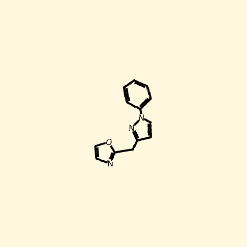 c1ccc(-n2ccc(Cc3ncco3)n2)cc1